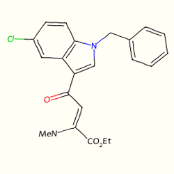 CCOC(=O)C(=CC(=O)c1cn(Cc2ccccc2)c2ccc(Cl)cc12)NC